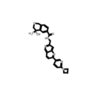 C[C@@]1(C#N)COCc2ccc(C(=O)NCc3cc4nc(-c5ccc(N6CCC6)nc5)ccc4cn3)cc21